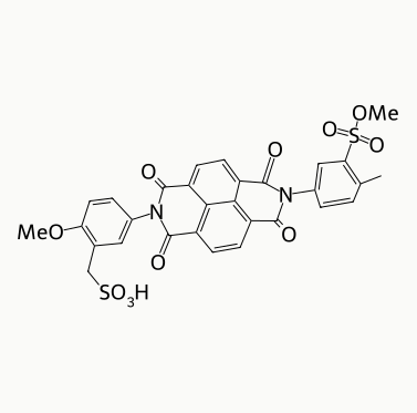 COc1ccc(N2C(=O)c3ccc4c5c(ccc(c35)C2=O)C(=O)N(c2ccc(C)c(S(=O)(=O)OC)c2)C4=O)cc1CS(=O)(=O)O